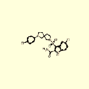 NC(=O)c1[nH]c2ccc(Cl)cc2c1S(=O)(=O)N1CCC2(CCN(c3ccc(Cl)cc3)C2)C1